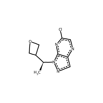 C[C@@H](C1COC1)n1ncc2ncc(Cl)nc21